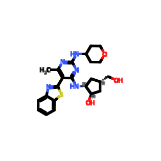 Cc1nc(NC2CCOCC2)nc(N[C@@H]2C[C@H](CO)C[C@H]2O)c1-c1nc2ccccc2s1